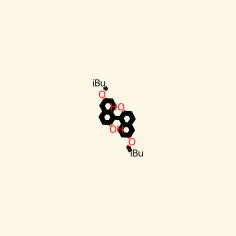 CCC(C)COc1ccc2c(-c3c(O)ccc4cc(OCC(C)CC)ccc34)c(O)ccc2c1